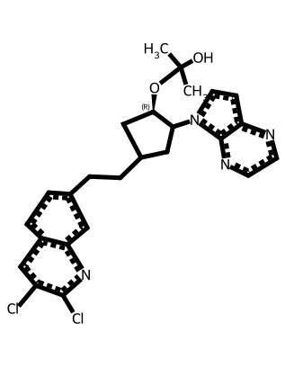 CC(C)(O)O[C@@H]1CC(CCc2ccc3cc(Cl)c(Cl)nc3c2)CC1n1ccc2nccnc21